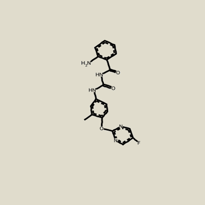 Cc1cc(NC(=O)NC(=O)c2ccccc2N)ccc1Oc1ncc(F)cn1